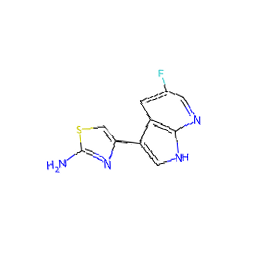 Nc1nc(-c2c[nH]c3ncc(F)cc23)cs1